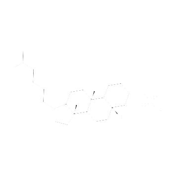 CC(C)CCC[C@@H](C)[C@H]1CC[C@H]2[C@@H]3CC[C@H]4C[C@@H](OS(=O)(=O)O)CC[C@]4(C)[C@H]3CC[C@]12C